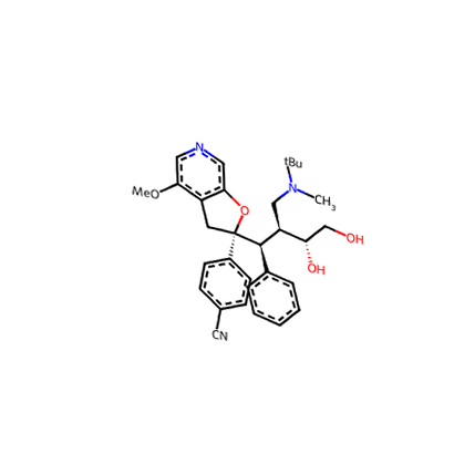 COc1cncc2c1C[C@](c1ccc(C#N)cc1)([C@H](c1ccccc1)[C@@H](CN(C)C(C)(C)C)[C@@H](O)CO)O2